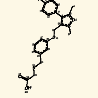 Cc1oc(C)c(-c2ccc(F)cc2)c1COc1cccc(CSCC(=O)O)c1